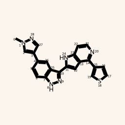 Cn1cc(-c2ccc3[nH]nc(-c4cc5c(-c6ccsc6)nccc5[nH]4)c3c2)cn1